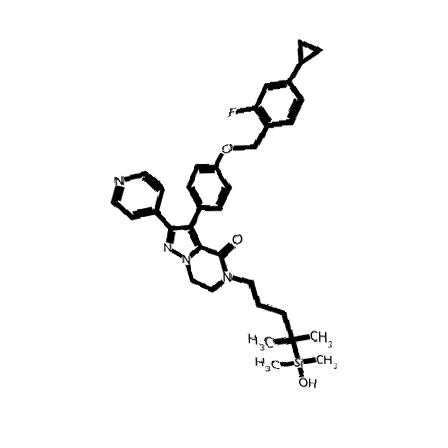 CC(C)(CCCN1CCn2nc(-c3ccncc3)c(-c3ccc(OCc4ccc(C5CC5)cc4F)cc3)c2C1=O)[Si](C)(C)O